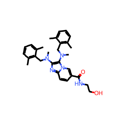 Cc1cccc(C)c1CN(C)c1nc2ccc(C(=O)NCCO)cn2c1N(C)Cc1c(C)cccc1C